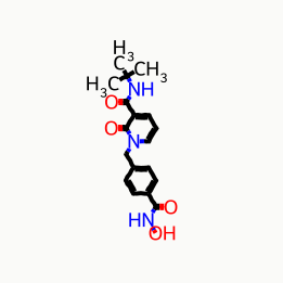 CC(C)(C)NC(=O)c1cccn(Cc2ccc(C(=O)NO)cc2)c1=O